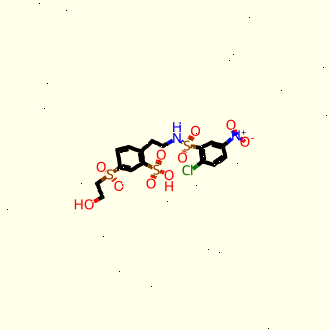 O=[N+]([O-])c1ccc(Cl)c(S(=O)(=O)NCCc2ccc(S(=O)(=O)CCO)cc2S(=O)(=O)O)c1